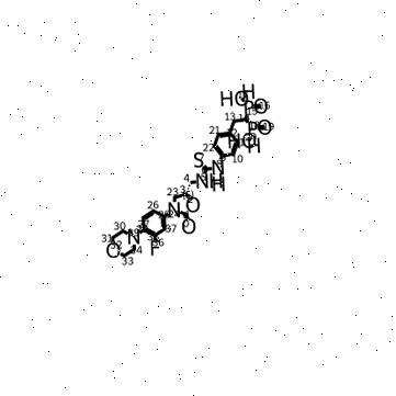 O=C1O[C@@H](CNC(=S)Nc2ccc(CC([PH](=O)O)[PH](=O)O)cc2)CN1c1ccc(N2CCOCC2)c(F)c1